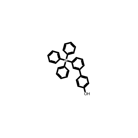 Oc1ccc(-c2cccc([Si](c3ccccc3)(c3ccccc3)c3ccccc3)c2)cc1